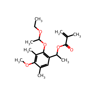 C=C(C)C(=O)OC(C)c1cc(C)c(OC)c(C)c1OC(C)OCC